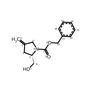 C=C1C[C@@H](CO)N(C(=O)OCc2ccccc2)C1